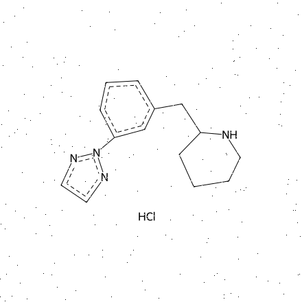 Cl.c1cc(CC2CCCCN2)cc(-n2nccn2)c1